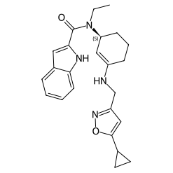 CCN(C(=O)c1cc2ccccc2[nH]1)[C@@H]1C=C(NCc2cc(C3CC3)on2)CCC1